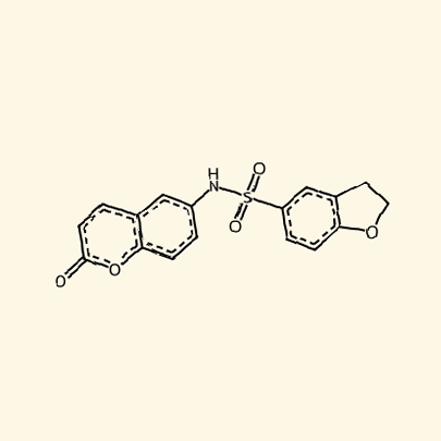 O=c1ccc2cc(NS(=O)(=O)c3ccc4c(c3)CCO4)ccc2o1